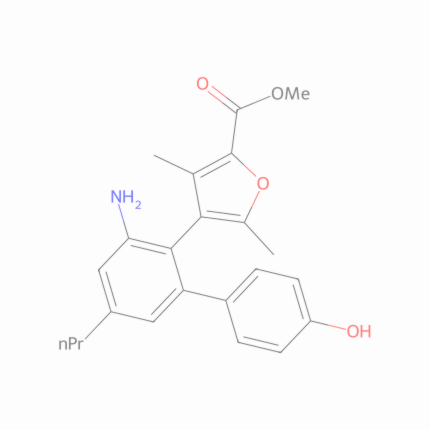 CCCc1cc(N)c(-c2c(C)oc(C(=O)OC)c2C)c(-c2ccc(O)cc2)c1